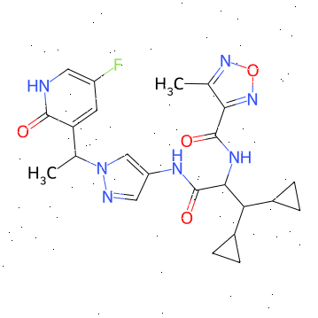 Cc1nonc1C(=O)NC(C(=O)Nc1cnn(C(C)c2cc(F)c[nH]c2=O)c1)C(C1CC1)C1CC1